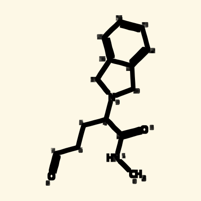 CNC(=O)C(CCC=O)N1Cc2ccccc2C1